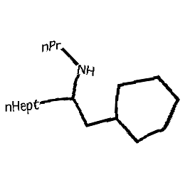 CCCCCCCC(CC1CCCCC1)NCCC